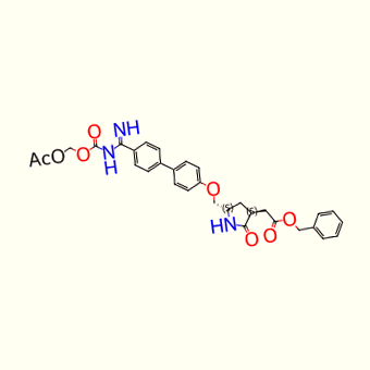 CC(=O)OCOC(=O)NC(=N)c1ccc(-c2ccc(OC[C@@H]3C[C@@H](CC(=O)OCc4ccccc4)C(=O)N3)cc2)cc1